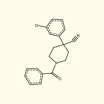 N#CC1(c2cccc(Cl)c2)CCN(C(=O)c2ccccc2)CC1